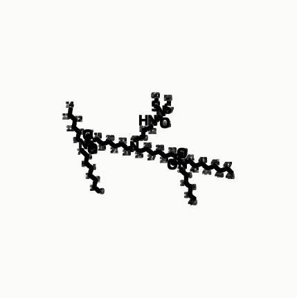 CCCCCCCCN(CCCCCC)S(=O)(=O)CCCCCCN(CCCCCCS(=O)(=O)N(CCCCCC)CCCCCCCC)CCCCNC(=O)N(SC)SC